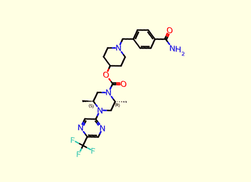 C[C@@H]1CN(c2cnc(C(F)(F)F)cn2)[C@@H](C)CN1C(=O)OC1CCN(Cc2ccc(C(N)=O)cc2)CC1